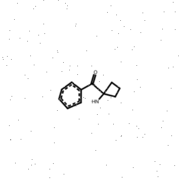 [NH]C1(C(=O)c2ccccc2)CCC1